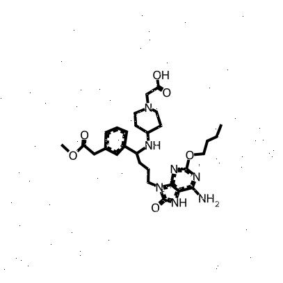 CCCCOc1nc(N)c2[nH]c(=O)n(CCCC(NC3CCN(CC(=O)O)CC3)c3cccc(CC(=O)OC)c3)c2n1